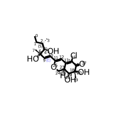 CC[C@H](C)[C@@H](O)[C@@](C)(O)/C=C/C1=CC2=C(Cl)C(=O)[C@](C)(O)[C@H](O)[C@H]2CO1